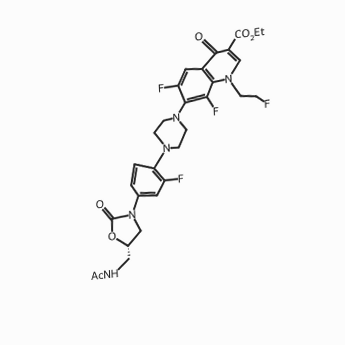 CCOC(=O)c1cn(CCF)c2c(F)c(N3CCN(c4ccc(N5C[C@H](CNC(C)=O)OC5=O)cc4F)CC3)c(F)cc2c1=O